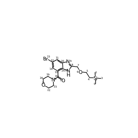 C[Si](C)(C)CCOCc1nc2cc(Br)cc(C(=O)N3CCOCC3)c2[nH]1